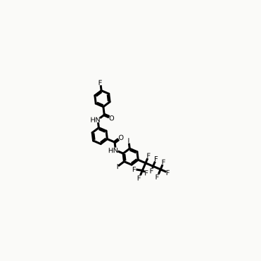 O=C(Nc1cccc(C(=O)Nc2c(I)cc(C(F)(C(F)(F)F)C(F)(F)C(F)(F)F)cc2I)c1)c1ccc(F)cc1